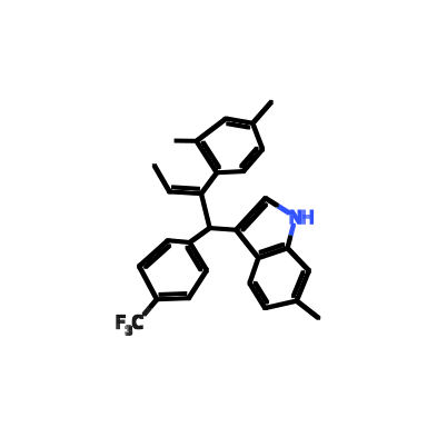 C/C=C(\c1ccc(C)cc1C)C(c1ccc(C(F)(F)F)cc1)c1c[nH]c2cc(C)ccc12